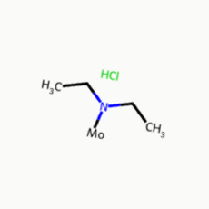 CC[N]([Mo])CC.Cl